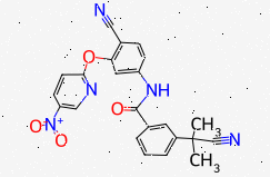 CC(C)(C#N)c1cccc(C(=O)Nc2ccc(C#N)c(Oc3ccc([N+](=O)[O-])cn3)c2)c1